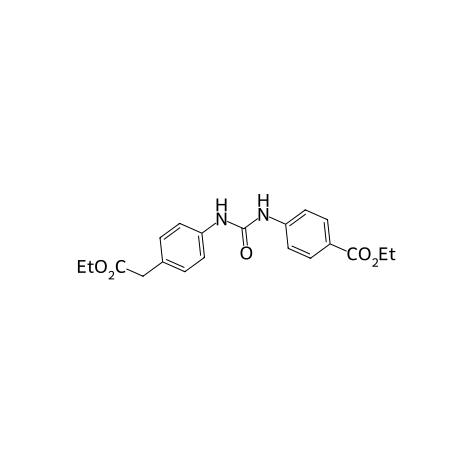 CCOC(=O)Cc1ccc(NC(=O)Nc2ccc(C(=O)OCC)cc2)cc1